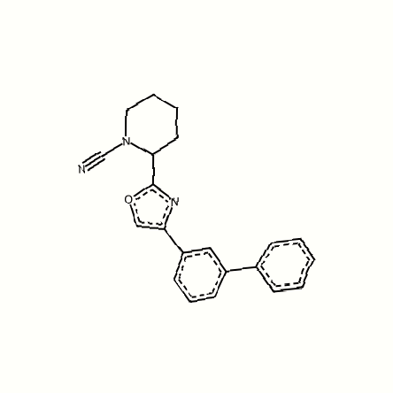 N#CN1CCCCC1c1nc(-c2cccc(-c3ccccc3)c2)co1